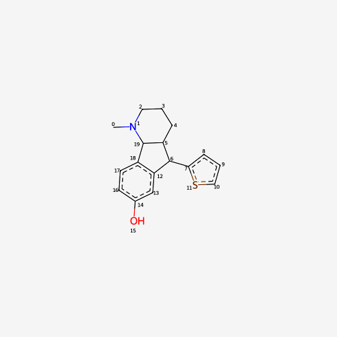 CN1CCCC2C(c3cccs3)c3cc(O)ccc3C21